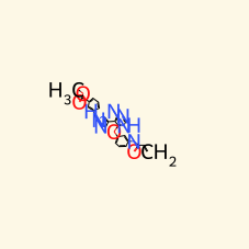 C=CC(=O)Nc1cccc(Oc2ncnc(N)c2-c2cnn(Cc3cccc(C(=O)OC)c3)c2)c1